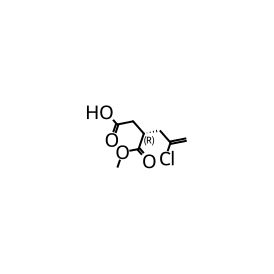 C=C(Cl)C[C@@H](CC(=O)O)C(=O)OC